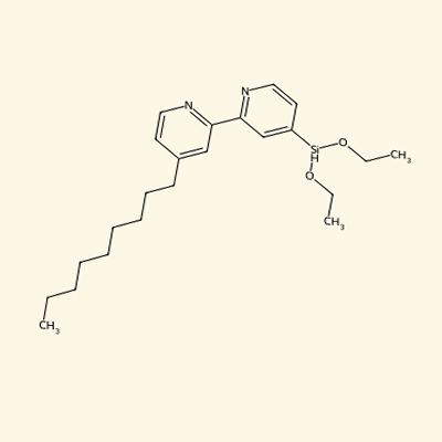 CCCCCCCCCc1ccnc(-c2cc([SiH](OCC)OCC)ccn2)c1